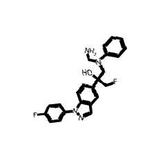 NCN(CC(O)(CF)c1ccc2c(cnn2-c2ccc(F)cc2)c1)c1ccccc1